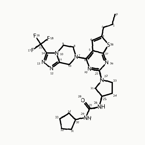 CCCc1cc2c(N3CCn4c(nnc4C(F)(F)F)C3)nc(N3CCC(NC(=O)NC4CCCC4)C3)nc2s1